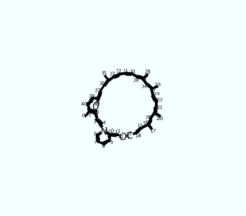 CC1=C2/C=C/N3C=CC=C/C3=C\OC/C=C/C(C)=C/C(C)=C\C=C\C(C)=C\C(C)=C\C=C/C=C\C(C)=C/C=C(\C=C1)O2